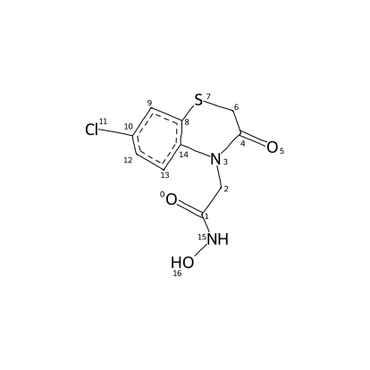 O=C(CN1C(=O)CSc2cc(Cl)ccc21)NO